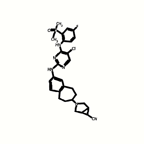 CP(C)(=O)c1cc(F)ccc1Nc1nc(Nc2ccc3c(c2)CCC(N2CC4C(C#N)C4C2)CC3)ncc1Cl